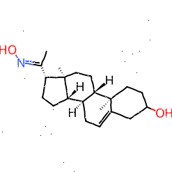 C/C(=N\O)[C@H]1CC[C@H]2[C@@H]3CC=C4CC(O)CC[C@]4(C)[C@H]3CC[C@]12C